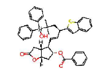 CC(C)(C[C@H](/C=C/[C@@H]1[C@H]2CC(=O)O[C@H]2C[C@H]1OC(=O)c1ccccc1)c1cc2ccccc2s1)[Si](O)(c1ccccc1)c1ccccc1